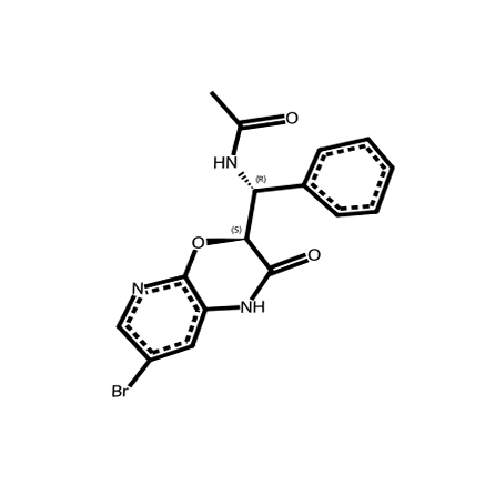 CC(=O)N[C@H](c1ccccc1)[C@@H]1Oc2ncc(Br)cc2NC1=O